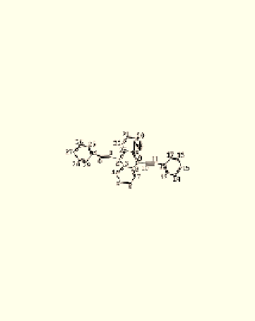 C(#Cc1c2ccccc2c(C#Cc2ccccc2)c2ncccc12)c1ccccc1